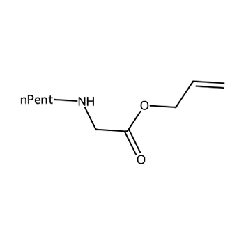 C=CCOC(=O)CNCCCCC